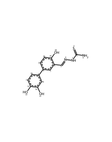 NC(=S)N/N=C/c1cc(-c2ccc(O)c(O)c2)ccc1O